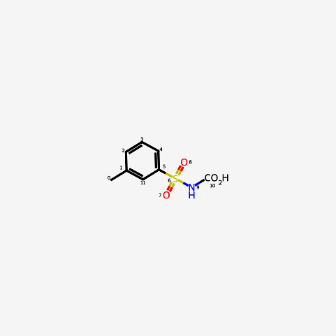 Cc1cccc(S(=O)(=O)NC(=O)O)c1